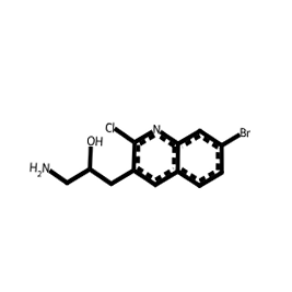 NCC(O)Cc1cc2ccc(Br)cc2nc1Cl